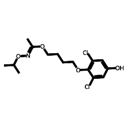 CC(=NOC(C)C)OCCCCOc1c(Cl)cc(O)cc1Cl